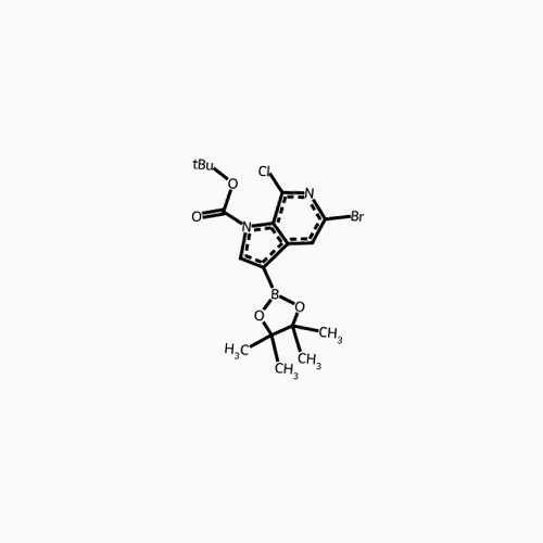 CC(C)(C)OC(=O)n1cc(B2OC(C)(C)C(C)(C)O2)c2cc(Br)nc(Cl)c21